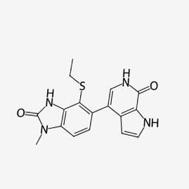 CCSc1c(-c2c[nH]c(=O)c3[nH]ccc23)ccc2c1[nH]c(=O)n2C